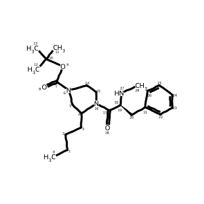 CCCCC1CN(C(=O)OC(C)(C)C)CCN1C(=O)[C@H](Cc1ccccc1)NC